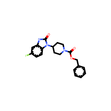 O=C(OCc1ccccc1)N1CCC(N2C(=O)[N]c3cc(F)ccc32)CC1